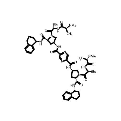 CN[C@@H](C)C(=O)N[C@H](C(=O)N1C[C@@H](NC(=O)c2cnc(C(=O)N[C@H]3C[C@@H](C(=O)N[C@@H]4CCCc5ccccc54)N(C(=O)[C@@H](NC(=O)[C@H](C)NC)C(C)(C)C)C3)cn2)C[C@H]1C(=O)N[C@@H]1CCCc2ccccc21)C(C)(C)C